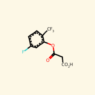 O=C(O)CC(=O)Oc1cc(F)ccc1C(F)(F)F